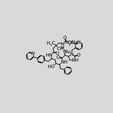 COC(=O)NCC(C)(C)CC(=O)NC(Cc1ccc(-c2ccccn2)cc1)CC(O)C(Cc1ccccc1)NC(=O)C(C1CNC(=O)N1Cc1cccnc1C)C(C)(C)C